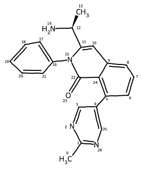 Cc1ncc(-c2cccc3cc([C@H](C)N)n(-c4ccccc4)c(=O)c23)cn1